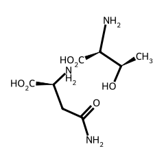 C[C@@H](O)[C@H](N)C(=O)O.NC(=O)C[C@H](N)C(=O)O